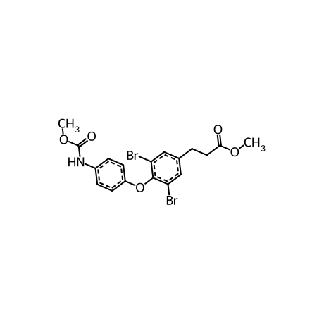 COC(=O)CCc1cc(Br)c(Oc2ccc(NC(=O)OC)cc2)c(Br)c1